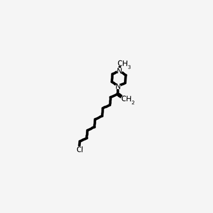 C=C(CCCCCCCCCCl)N1CCN(C)CC1